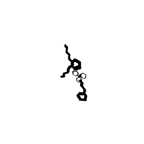 CCCCCc1cccc(OC(=O)OCCCc2ccccc2)c1CCCCC